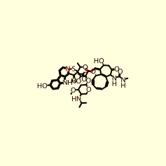 CNC(=O)NC1C(=O)C[C@H](O)/C(=C/CSC(C)=O)C2=C1C#C/C=C\C#C[C@@H]2OC1OC(C)C(SC)(C(=O)c2nccc3c2[nH]c2ccc(O)cc23)C(O)C1OC1CC(OC)C(NC(C)C)CO1